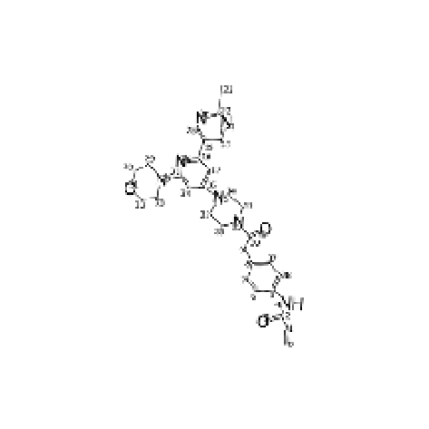 C=CC(=O)Nc1ccc(CC(=O)N2CCN(c3cc(-c4cnc(I)nc4)nc(N4CCOCC4)c3)CC2)cc1